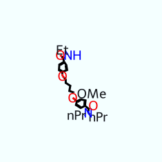 CCCN(CCC)C(=O)c1ccc(OCCCCCOc2ccc(C(=N)OCC)cc2)c(OC)c1